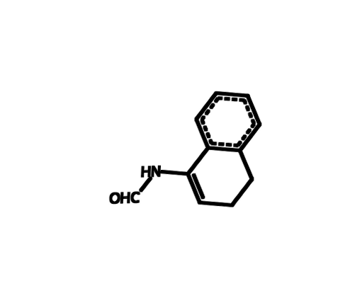 O=CNC1=CCCc2ccccc21